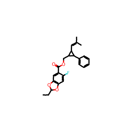 CCC1Oc2cc(F)c(C(=O)OCC3C(C=C(C)C)C3c3ccccc3)cc2O1